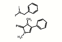 Cn1cc(-c2ccccc2)n(C)[c]1=[Pt].IN(I)Cc1ccccc1